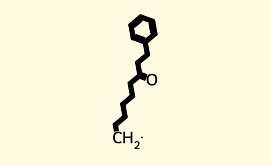 [CH2]CCCCCC(=O)CCc1ccccc1